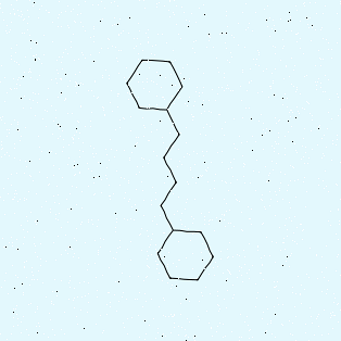 C1CCC(CCCCC2CCCCC2)CC1